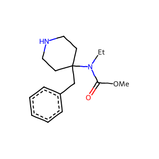 CCN(C(=O)OC)C1(Cc2ccccc2)CCNCC1